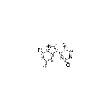 Fc1cc(F)c2ncc(-c3nc(Cl)ncc3Cl)n2c1